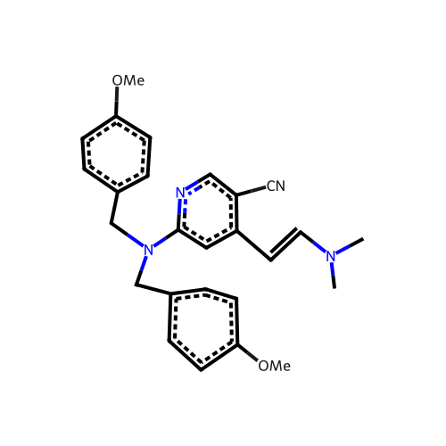 COc1ccc(CN(Cc2ccc(OC)cc2)c2cc(/C=C/N(C)C)c(C#N)cn2)cc1